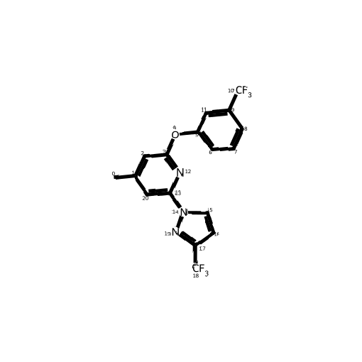 Cc1cc(Oc2cccc(C(F)(F)F)c2)nc(-n2ccc(C(F)(F)F)n2)c1